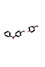 O=Cc1ccc(OCc2ccc(C(=O)c3ccccc3)cc2)cc1